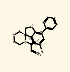 C=CC(=O)N1CCOC[C@]12COc1c(-c3ccccc3)cc(Cl)cc12